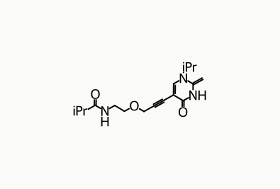 C=C1NC(=O)C(C#CCOCCNC(=O)C(C)C)=CN1C(C)C